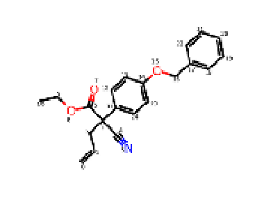 C=CCC(C#N)(C(=O)OCC)c1ccc(OCc2ccccc2)cc1